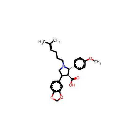 COc1ccc([C@@H]2[C@@H](C(=O)O)C(c3ccc4c(c3)OCO4)CN2CCCC=C(C)C)cc1